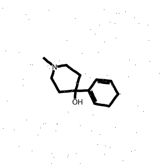 CN1CCC(O)(C2=CC[CH]C=C2)CC1